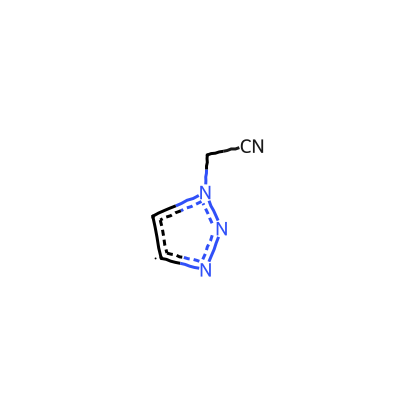 N#CCn1c[c]nn1